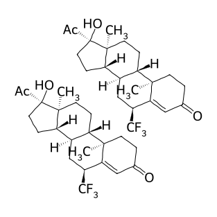 CC(=O)[C@@]1(O)CC[C@H]2[C@@H]3C[C@H](C(F)(F)F)C4=CC(=O)CC[C@]4(C)[C@H]3CC[C@@]21C.CC(=O)[C@@]1(O)CC[C@H]2[C@@H]3C[C@H](C(F)(F)F)C4=CC(=O)CC[C@]4(C)[C@H]3CC[C@@]21C